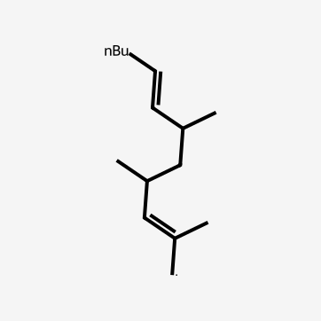 [CH2]/C(C)=C/C(C)CC(C)/C=C/CCCC